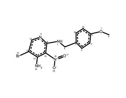 COc1ccc(CNc2ncc(Br)c(N)c2[N+](=O)[O-])cc1